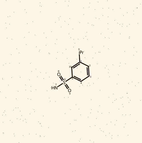 CC(C)c1cccc(S([NH])(=O)=O)c1